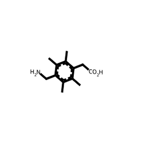 Cc1c(C)c(CC(=O)O)c(C)c(C)c1CN